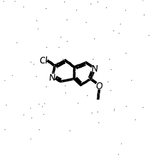 COc1cc2cnc(Cl)cc2cn1